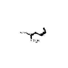 C/C=C\C[C@H](NC(C)=O)C(=O)O